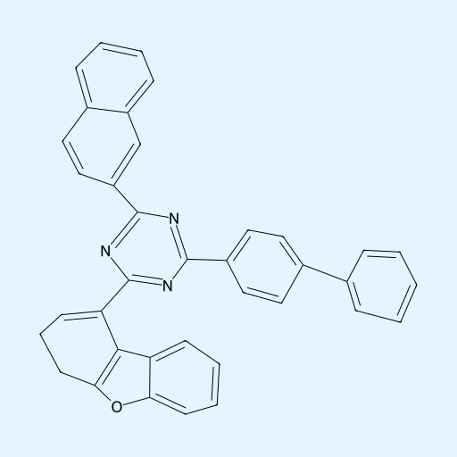 C1=C(c2nc(-c3ccc(-c4ccccc4)cc3)nc(-c3ccc4ccccc4c3)n2)c2c(oc3ccccc23)CC1